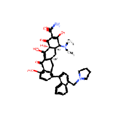 CN(C)C1C(O)=C(C(N)=O)C(=O)[C@]2(O)C(O)=C3C(=O)c4c(O)ccc(-c5ccc(CN6CCCC6)c6ccccc56)c4C[C@@H]3C[C@H]12